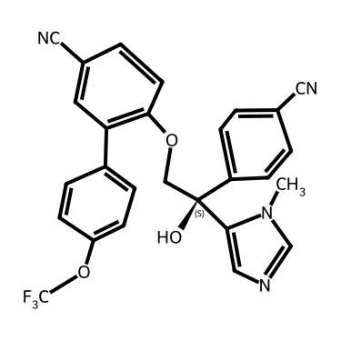 Cn1cncc1[C@](O)(COc1ccc(C#N)cc1-c1ccc(OC(F)(F)F)cc1)c1ccc(C#N)cc1